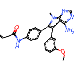 C=CC(=O)Nc1ccc(-c2c(-c3cccc(OC)c3)c3c(N)ncnc3n2C)cc1